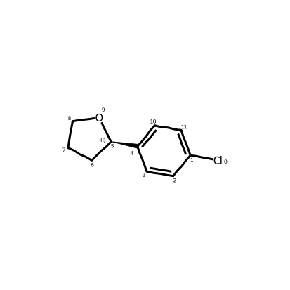 Clc1ccc([C@H]2CCCO2)cc1